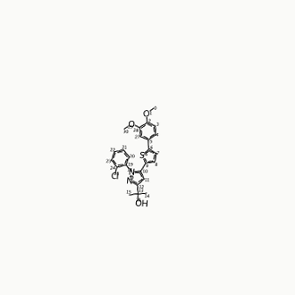 COc1ccc(-c2ccc(-c3cc(C(C)(C)O)nn3-c3ccccc3Cl)s2)cc1OC